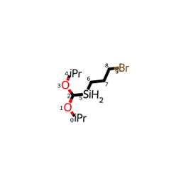 CC(C)OC(OC(C)C)[SiH2]CCCBr